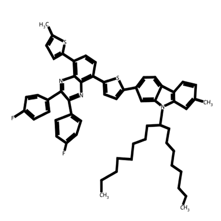 CCCCCCCCC(CCCCCCCC)n1c2cc(C)ccc2c2ccc(-c3ccc(-c4ccc(-c5ccc(C)s5)c5nc(-c6ccc(F)cc6)c(-c6ccc(F)cc6)nc45)s3)cc21